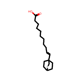 O=C(O)CCCCCCCCC=CC12CCC(CC1)CC2